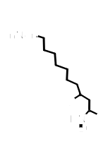 CCCCCCCCCCCCCCCCC(O)CC(C)NCC